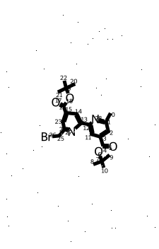 Cc1cc(C(=O)OC(C)(C)C)cc(-c2cc(C(=O)OC(C)(C)C)cc(CBr)n2)n1